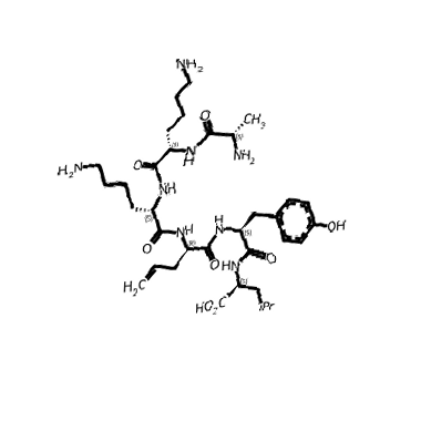 C=CC[C@@H](NC(=O)[C@H](CCCCN)NC(=O)[C@H](CCCCN)NC(=O)[C@H](C)N)C(=O)N[C@@H](Cc1ccc(O)cc1)C(=O)N[C@@H](CC(C)C)C(=O)O